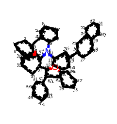 c1ccc(-c2ccccc2N(c2cccc(-c3ccc4ccccc4c3)c2)c2ccccc2-c2oc3ccccc3c2-c2ccccc2)cc1